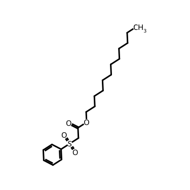 CCCCCCCCCCCCOC(=O)CS(=O)(=O)c1ccccc1